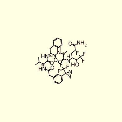 CC(C)[C@H](NC(=O)Cc1cccc(C2(C(F)(F)F)N=N2)c1)C(=O)N[C@@H](Cc1ccccc1)C(=O)N[C@@H](C)C(=O)NC(CCC(N)=O)C(O)C(F)(F)F